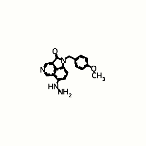 COc1ccc(CN2C(=O)c3cncc4c(NN)ccc2c34)cc1